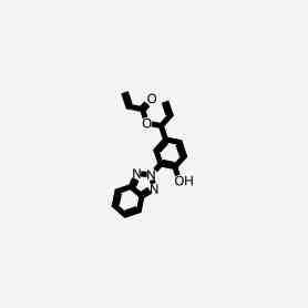 C=CC(=O)OC(C=C)c1ccc(O)c(-n2nc3ccccc3n2)c1